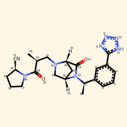 C[C@H](c1cccc(-c2nnn[nH]2)c1)N1C(=O)[C@@H]2C[C@H]1CN2C[C@H](C)C(=O)N1CCC[C@H]1C#N